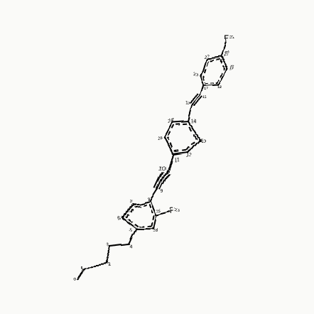 CCCCCc1ccc(C#Cc2ccc(C#Cc3ccc(F)cc3)cc2)c(F)c1